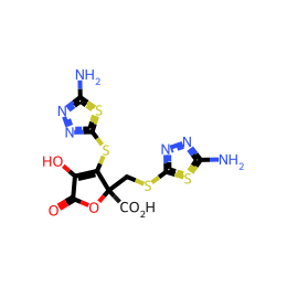 Nc1nnc(SCC2(C(=O)O)OC(=O)C(O)=C2Sc2nnc(N)s2)s1